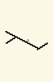 CCCCCCCCC(C)CCCCCCCCC(=O)CCCCCCCCC(CCCCCCCC)CCCCCCCC